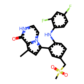 Cc1cc(-c2cc(CS(C)(=O)=O)ccc2Nc2ccc(F)cc2F)n2cc[nH]c(=O)c12